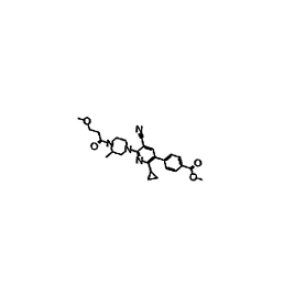 COCCC(=O)N1CCN(c2nc(C3CC3)c(-c3ccc(C(=O)OC)cc3)cc2C#N)CC1C